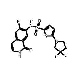 O=c1[nH]ccc2cc(F)c(NS(=O)(=O)c3ccc(N4CCC(F)(F)C4)s3)cc12